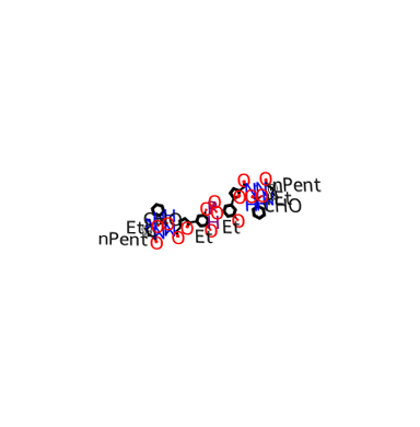 CCCCC[C@@H](C(=O)NCNC(=O)c1ccc(-c2cc(OCC)cc(O[PH](=O)Oc3cc(OCC)cc(-c4ccc(C(=O)NCNC(=O)[C@H](CCCCC)[C@@H](CC)N(C=O)OC(=O)c5ccccc5)o4)c3)c2)o1)[C@@H](CC)N(C=O)OC(=O)c1ccccc1